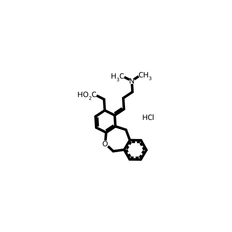 CN(C)CCC=C1C2=C(C=CC1CC(=O)O)OCc1ccccc1C2.Cl